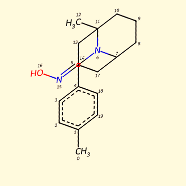 Cc1ccc(CN2C3CCCC2(C)CC(=NO)C3)cc1